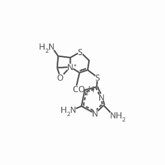 Nc1cc(SC2=C(C(=O)O)[N+]34OC3C(N)C4SC2)nc(N)n1